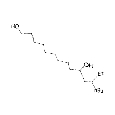 CCCCC(CC)CC(O)CCCCCCCCCO